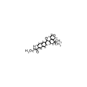 CCNC(=O)c1ccc2cc(C(=O)C3=CCC(C)(C)C4=C3C=COC4)ccc2c1